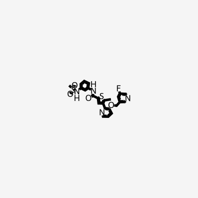 Cc1sc(C(=O)Nc2cccc(NS(C)(=O)=O)c2)cc1-c1ncccc1OCc1cncc(F)c1